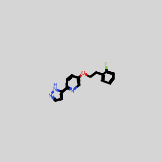 Fc1ccccc1CCOc1ccc(-c2ccn[nH]2)nc1